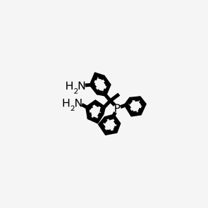 CC(c1cccc(N)c1)(c1cccc(N)c1)P(c1ccccc1)c1ccccc1